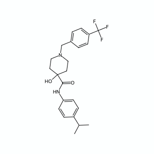 CC(C)c1ccc(NC(=O)C2(O)CCN(Cc3ccc(C(F)(F)F)cc3)CC2)cc1